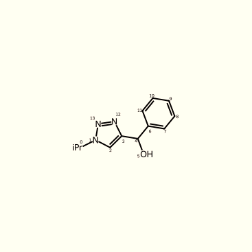 CC(C)n1cc(C(O)c2ccccc2)nn1